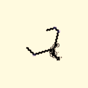 CCCCC/C=C\C/C=C\CCCCCCCC(=O)OC[C@H](COP(=O)([O-])OCC[N+](C)(C)C)OC(=O)CCCCCCCCC/C=C\CCCCCC